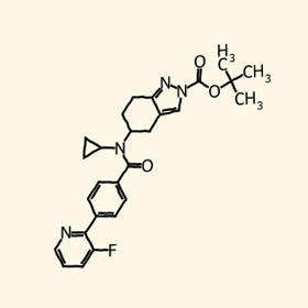 CC(C)(C)OC(=O)n1cc2c(n1)CCC(N(C(=O)c1ccc(-c3ncccc3F)cc1)C1CC1)C2